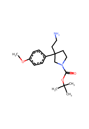 COc1ccc(C2(CCN)CCN(C(=O)OC(C)(C)C)C2)cc1